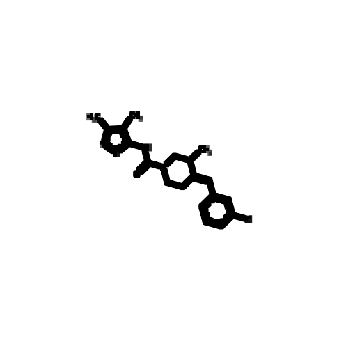 Cc1noc(NC(=O)N2CCC(=Cc3cccc(Cl)c3)C(C)C2)c1C